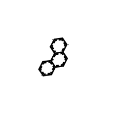 [c]1ccc2c(c1)ccc1[c]c[c]cc12